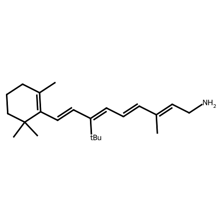 CC1=C(/C=C/C(=C/C=C/C(C)=C/CN)C(C)(C)C)C(C)(C)CCC1